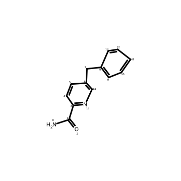 NC(=O)c1ccc(Cc2ccccc2)cn1